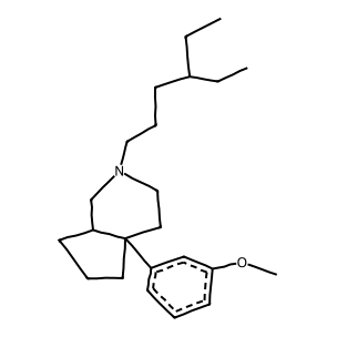 CCC(CC)CCCN1CCC2(c3cccc(OC)c3)CCCC2C1